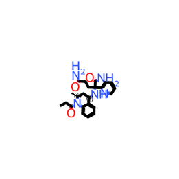 CCC(=O)N1c2ccccc2[C@H](NC(CCC(N)=O)(C(N)=O)c2ccccn2)C[C@@H]1C